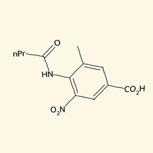 CCCC(=O)Nc1c(C)cc(C(=O)O)cc1[N+](=O)[O-]